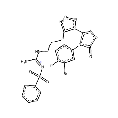 N/C(=N\S(=O)(=O)c1ccccc1)NCCOc1nonc1-c1noc(=O)n1-c1ccc(F)c(Br)c1